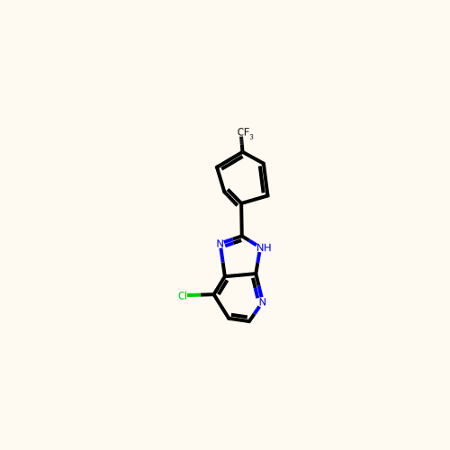 FC(F)(F)c1ccc(-c2nc3c(Cl)ccnc3[nH]2)cc1